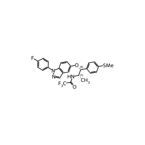 CSc1ccc([C@@H](Oc2ccc3c(cnn3-c3ccc(F)cc3)c2)[C@H](C)NC(=O)C(F)(F)F)cc1